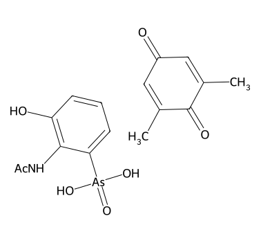 CC(=O)Nc1c(O)cccc1[As](=O)(O)O.CC1=CC(=O)C=C(C)C1=O